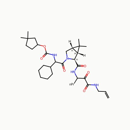 C=CCNC(=O)C(=O)C(CCC)NC(=O)[C@@H]1[C@@H]2[C@H](CN1C(=O)C(NC(=O)OC1CCC(C)(C)C1)C1CCCCC1)C2(C)C